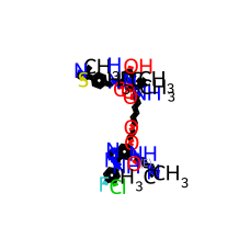 Cc1ncsc1-c1ccc(CNC(=O)C2CC(O)CN2C(=O)[C@@H](NC(=O)CCCCCOCCOc2cc3ncnc(Nc4ccc(F)c(Cl)c4)c3cc2NC(=O)/C=C/CN(C)C)C(C)(C)C)cc1